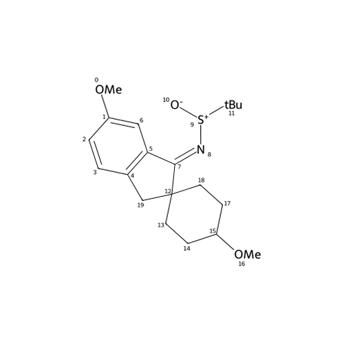 COc1ccc2c(c1)/C(=N\[S+]([O-])C(C)(C)C)C1(CCC(OC)CC1)C2